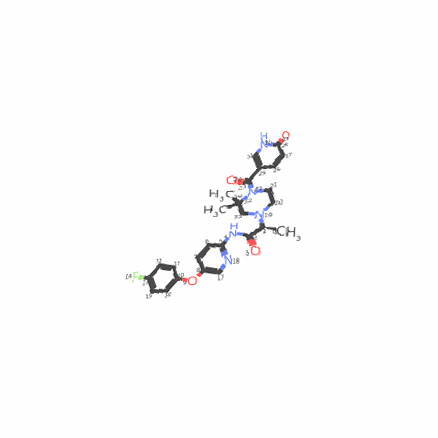 C[C@@H](C(=O)Nc1ccc(Oc2ccc(F)cc2)cn1)N1CCN(C(=O)c2ccc(=O)[nH]c2)C(C)(C)C1